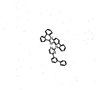 c1ccc(-c2cccc(-c3ccnc(-n4c5ccccc5c5ccc6c(nc7c8ccccc8c8ccccc8n67)c54)n3)c2)cc1